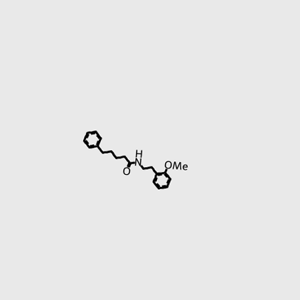 COc1ccccc1CCNC(=O)CCCCc1ccccc1